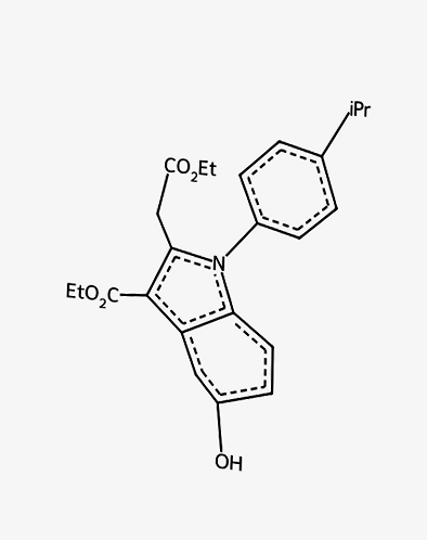 CCOC(=O)Cc1c(C(=O)OCC)c2cc(O)ccc2n1-c1ccc(C(C)C)cc1